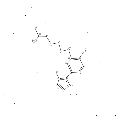 CCc1ccc(-c2sccc2C)cc1OCCCCC(C)O